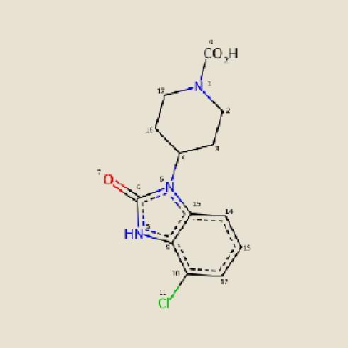 O=C(O)N1CCC(n2c(=O)[nH]c3c(Cl)cccc32)CC1